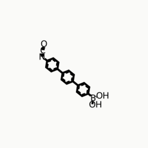 O=C=Nc1ccc(-c2ccc(-c3ccc(B(O)O)cc3)cc2)cc1